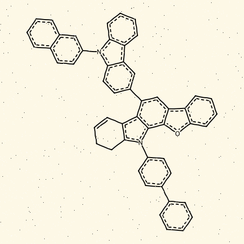 C1=Cc2c(n(-c3ccc(-c4ccccc4)cc3)c3c2c(-c2ccc4c(c2)c2ccccc2n4-c2ccc4ccccc4c2)cc2c4ccccc4oc23)CC1